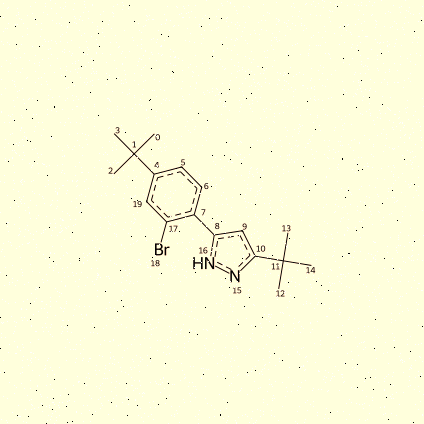 CC(C)(C)c1ccc(-c2cc(C(C)(C)C)n[nH]2)c(Br)c1